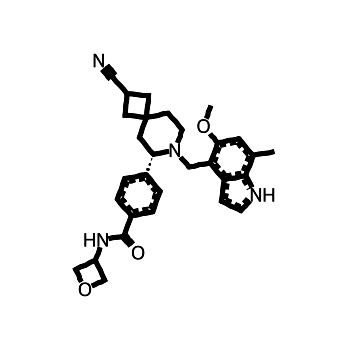 COc1cc(C)c2[nH]ccc2c1CN1CCC2(CC(C#N)C2)C[C@H]1c1ccc(C(=O)NC2COC2)cc1